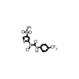 CC(C)S(=O)(=O)c1csc(N(Cl)C(=O)Nc2ccc(C(F)(F)F)cc2)c1